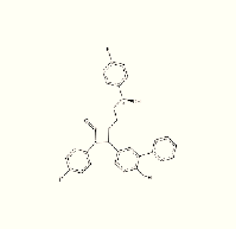 O=C1C(CC[C@H](O)c2ccc(F)cc2)C(c2ccc(O)c(-c3ccccc3)c2)N1c1ccc(F)cc1